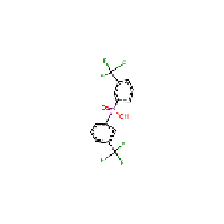 O=P(O)(c1cccc(C(F)(F)F)c1)c1cccc(C(F)(F)F)c1